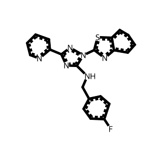 Fc1ccc(CNc2nc(-c3ccccn3)nn2-c2nc3ccccc3s2)cc1